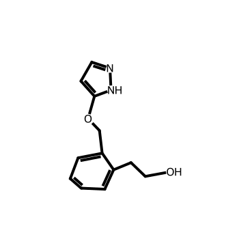 OCCc1ccccc1COc1ccn[nH]1